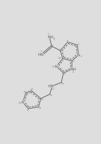 N=C(N)c1ccnc2[nH]c(CNCc3ccncc3)nc12